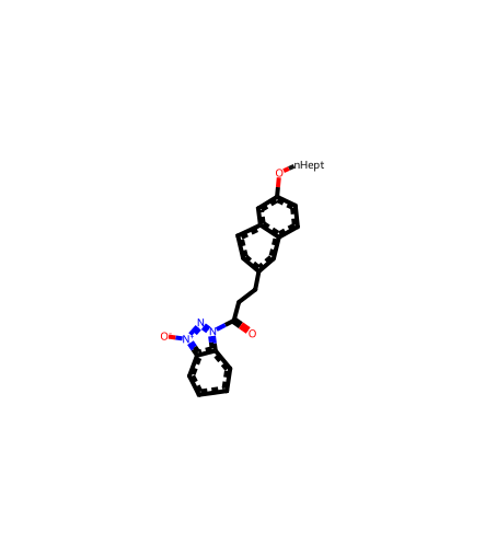 CCCCCCCOc1ccc2cc(CCC(=O)n3n[n+]([O-])c4ccccc43)ccc2c1